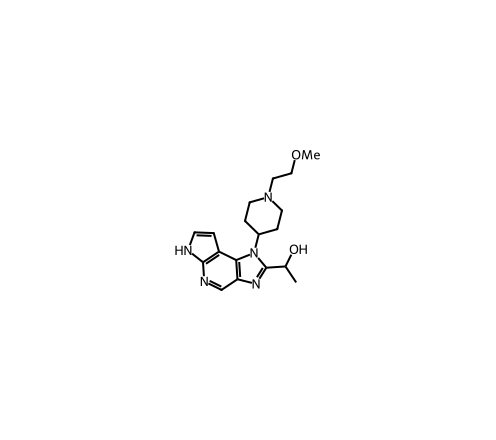 COCCN1CCC(n2c(C(C)O)nc3cnc4[nH]ccc4c32)CC1